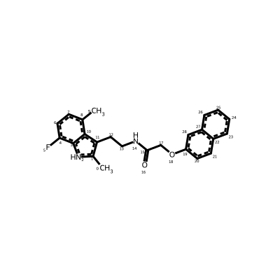 Cc1[nH]c2c(F)ccc(C)c2c1CCNC(=O)COc1ccc2ccccc2c1